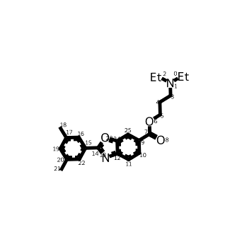 CCN(CC)CCCOC(=O)c1ccc2nc(-c3cc(C)cc(C)c3)oc2c1